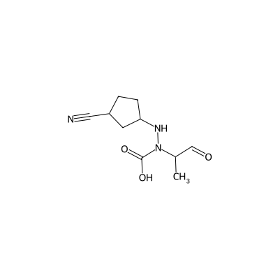 CC(C=O)N(NC1CCC(C#N)C1)C(=O)O